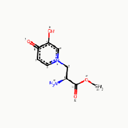 N[C@@H](Cn1ccc(=O)c(O)c1)C(=O)O[SiH3]